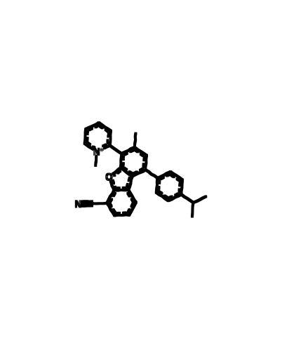 Cc1cc(-c2ccc(C(C)C)cc2)c2c(oc3c(C#N)cccc32)c1-c1cccc[n+]1C